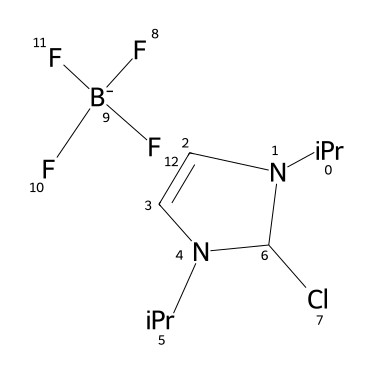 CC(C)N1C=CN(C(C)C)C1Cl.F[B-](F)(F)F